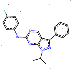 CC(C)n1nc(-c2ccccc2)c2cnc(Nc3ccc(F)cc3)nc21